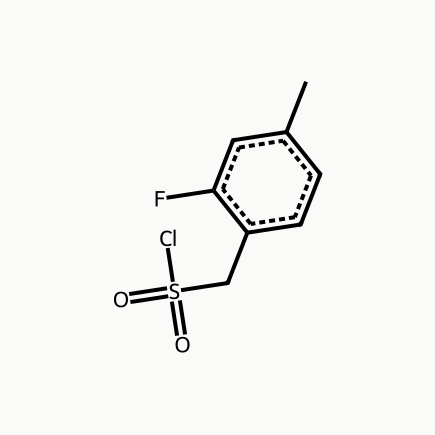 Cc1ccc(CS(=O)(=O)Cl)c(F)c1